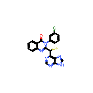 O=c1c2ccccc2nc(C(S)c2ncnc3[nH]cnc23)n1-c1cccc(Cl)c1